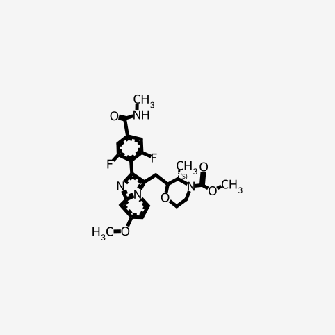 CNC(=O)c1cc(F)c(-c2nc3cc(OC)ccn3c2CC2OCCN(C(=O)OC)[C@H]2C)c(F)c1